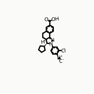 [C-]#[N+]c1ccc(N2N=C3c4ccc(C(=O)O)cc4CC[C@@H]3[C@@H]2C2CCCC2)cc1Cl